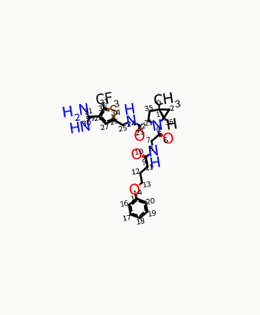 C[C@@]12C[C@@H]1N(C(=O)CNC(=O)CCCOc1ccccc1)[C@H](C(=O)NCc1cc(C(=N)N)c(C(F)(F)F)s1)C2